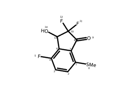 CSc1ccc(F)c2c1C(=O)C(F)(F)C2O